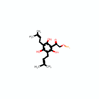 CC(C)=CCc1c(O)c(CC=C(C)C)c(O)c(C(=O)COP)c1O